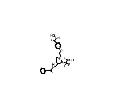 O=C(NO)c1ccc(OCCN2CCC(CNC3CC3c3ccccc3)CC2)cc1.O=C(O)C(F)(F)F